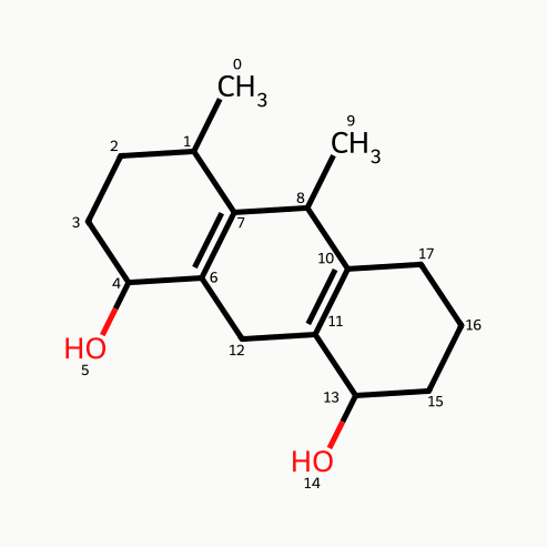 CC1CCC(O)C2=C1C(C)C1=C(C2)C(O)CCC1